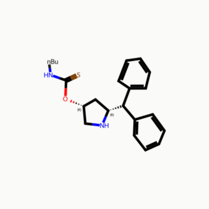 CCCCNC(=S)O[C@H]1CN[C@@H](C(c2ccccc2)c2ccccc2)C1